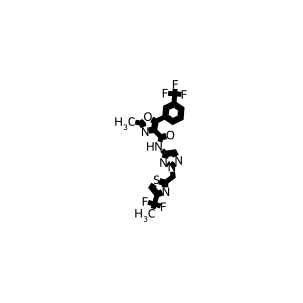 Cc1nc(C(=O)Nc2cnn(Cc3nc(C(C)(F)F)cs3)n2)c(-c2cccc(C(F)(F)F)c2)o1